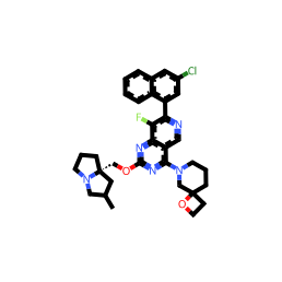 CC1CN2CCC[C@@]2(COc2nc(N3CCCC4(CCO4)C3)c3cnc(-c4cc(Cl)cc5ccccc45)c(F)c3n2)C1